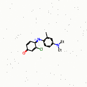 CCN(CC)c1ccc(/N=C2/C=CC(=O)C=C2Cl)c(C)c1